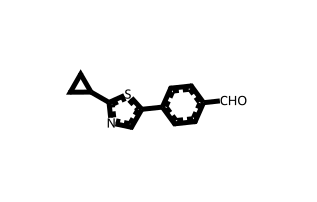 O=Cc1ccc(-c2cnc(C3CC3)s2)cc1